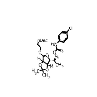 CCCCCCCCCCCCO[C@H]1O[C@H](/C(C)=N\OC(=O)Nc2ccc(Cl)cc2)[C@@H]2OC(C)(C)O[C@H]12